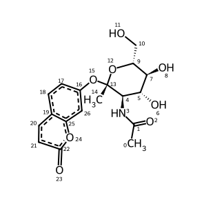 CC(=O)N[C@@H]1[C@@H](O)[C@H](O)[C@@H](CO)O[C@@]1(C)Oc1ccc2ccc(=O)oc2c1